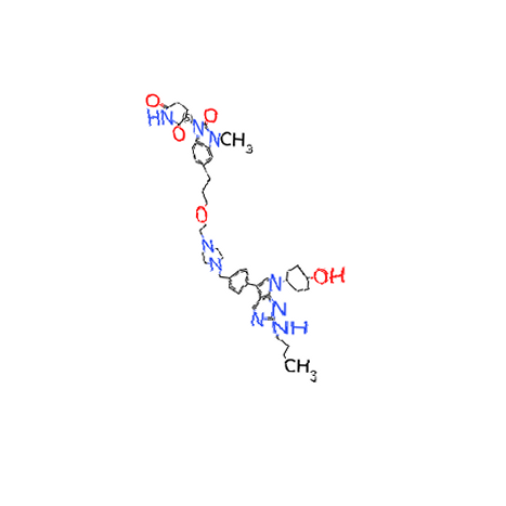 CCCCNc1ncc2c(-c3ccc(CN4CCN(CCOCCCc5ccc6c(c5)n(C)c(=O)n6[C@H]5CCC(=O)NC5=O)CC4)cc3)cn([C@H]3CC[C@H](O)CC3)c2n1